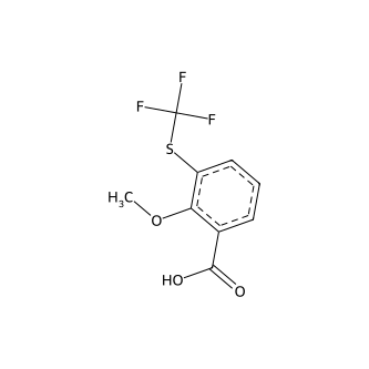 COc1c(SC(F)(F)F)cccc1C(=O)O